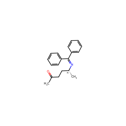 CC(=O)CC[C@@H](C)N=C(c1ccccc1)c1ccccc1